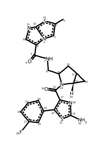 Cc1cn2c(C(=O)NCC3CC4C[C@@H]4N3C(=O)c3nc(N)sc3-c3cccc(F)c3)cnc2s1